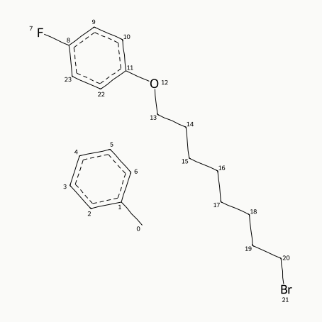 Cc1ccccc1.Fc1ccc(OCCCCCCCCBr)cc1